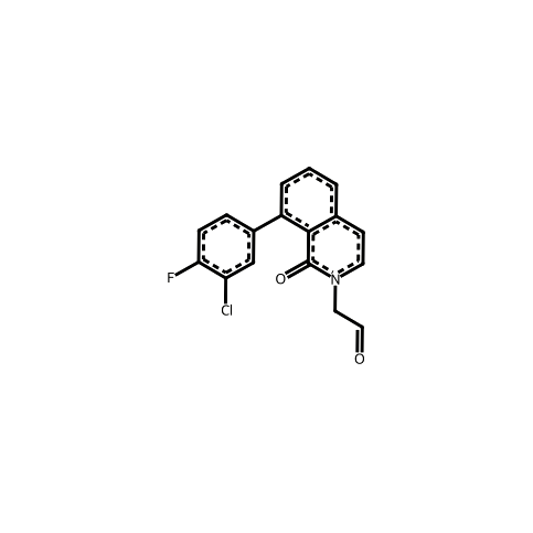 O=CCn1ccc2cccc(-c3ccc(F)c(Cl)c3)c2c1=O